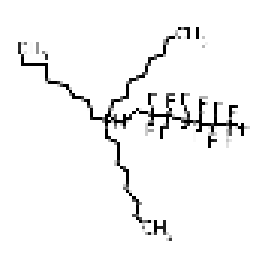 CCCCCCCC[PH](CCCCCCCC)(CCCCCCCC)CCC(F)(F)C(F)(F)C(F)(F)C(F)(F)C(F)(F)C(F)(F)F